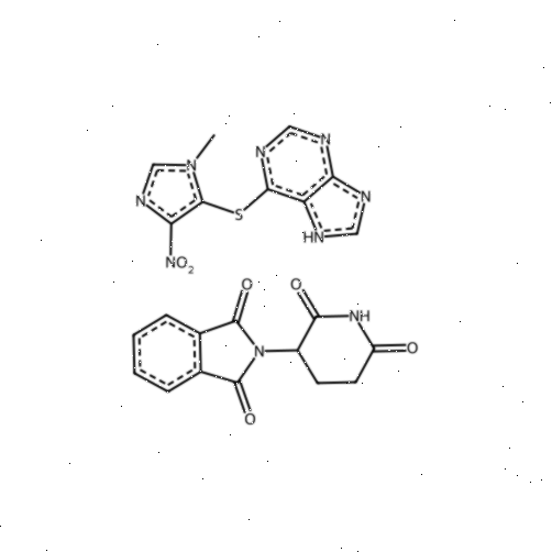 Cn1cnc([N+](=O)[O-])c1Sc1ncnc2nc[nH]c12.O=C1CCC(N2C(=O)c3ccccc3C2=O)C(=O)N1